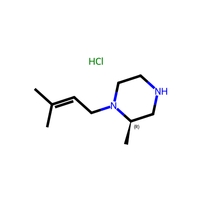 CC(C)=CCN1CCNC[C@H]1C.Cl